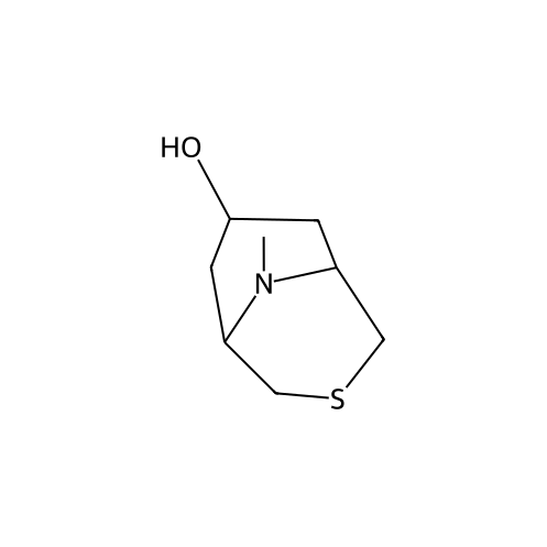 CN1C2CSCC1CC(O)C2